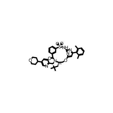 Cc1cccc(C)c1-c1cc2nc(n1)NS(=O)(=O)c1cccc(c1)C(=O)N(Cc1ccc(C3CCOCC3)cn1)[C@H](CC(C)(C)C)CO2